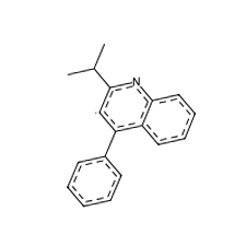 CC(C)c1[c]c(-c2ccccc2)c2ccccc2n1